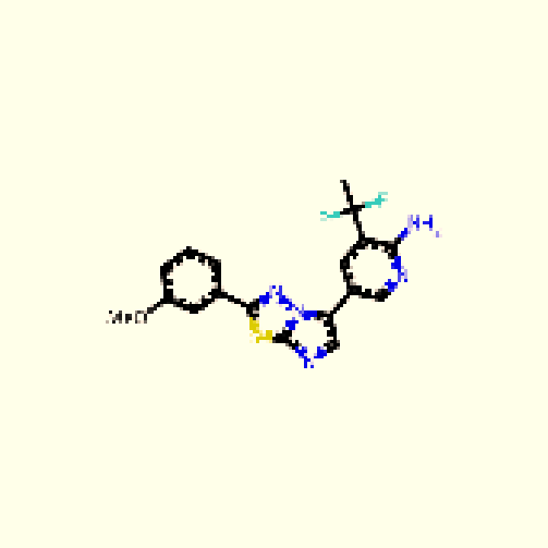 COc1cccc(-c2nn3c(-c4cnc(N)c(C(C)(F)F)c4)cnc3s2)c1